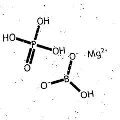 O=P(O)(O)O.[Mg+2].[O-]B([O-])O